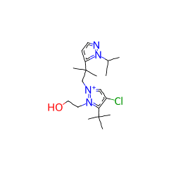 CC(C)n1nccc1C(C)(C)C[n+]1cc(Cl)c(C(C)(C)C)n1CCO